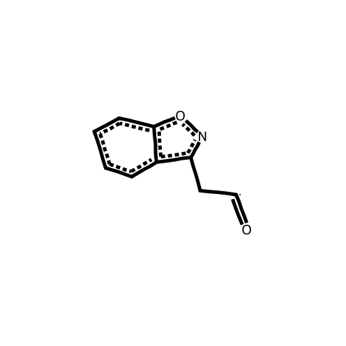 O=[C]Cc1noc2ccccc12